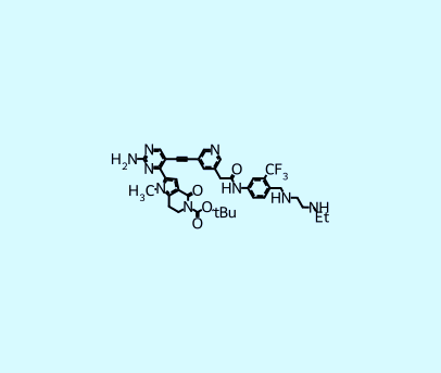 CCNCCNCc1ccc(NC(=O)Cc2cncc(C#Cc3cnc(N)nc3-c3cc4c(n3C)CCN(C(=O)OC(C)(C)C)C4=O)c2)cc1C(F)(F)F